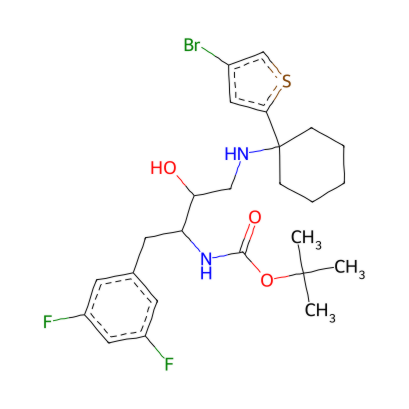 CC(C)(C)OC(=O)NC(Cc1cc(F)cc(F)c1)C(O)CNC1(c2cc(Br)cs2)CCCCC1